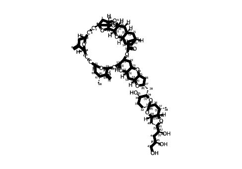 C=C1C[C@@H]2CC[C@@]34C[C@H]5O[C@H]6[C@@H](O[C@H]7CC[C@H](CC(=O)OC8CC9OC%10C[C@H](C[C@@H]%11O[C@@]%12(CC[C@@H]%11O)C[C@H](C)[C@@H]%11O[C@H]([C@@H](O)C[C@@H](O)CO)C[C@@H]%11O%12)O[C@@H]%10C[C@@H]9O[C@H]8C[C@H]8O[C@@H](CC[C@@H]1O2)C[C@@H](C)C8=C)C[C@@H]7[C@@H]6O3)[C@H]5O4